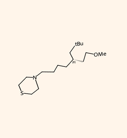 COCC[C@H](CCCCN1CCSCC1)CC(C)(C)C